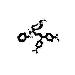 CC(=O)C[n+]1ccc(/C(=C\C=C(c2ccc(N(C)C)cc2)c2ccc(N(C)C)cc2)C(=O)Nc2ccccc2)cc1